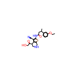 CCOc1cccc(C(C)CC(=O)Nc2sc3c(c2C#N)C(C(=O)CO)CNC3)c1